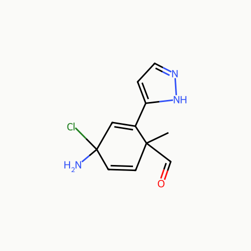 CC1(C=O)C=CC(N)(Cl)C=C1c1ccn[nH]1